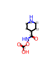 O=C(O)ONC(=O)C1CCNCC1